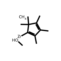 C.CC1=C(C)C(C)(C)[C]([Zr])=C1C.CO